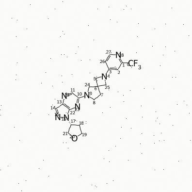 FC(F)(F)c1cc(N2CC3(CCN(c4cnc5cnn([C@@H]6CCOC6)c5n4)C3)C2)ccn1